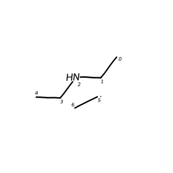 CCNCC.[CH2]C